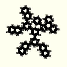 c1ccc(-n2c(-c3cc(-c4nc(-c5ccc6ccccc6c5)cc(-c5ccc6ccccc6c5)n4)cc(-c4nc(-c5ccc6ccccc6c5)cc(-c5ccc6ccccc6c5)n4)c3)nc3c4cccnc4c4ncccc4c32)cc1